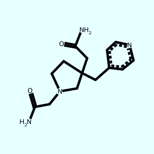 NC(=O)CN1CCC(CC(N)=O)(Cc2ccncc2)C1